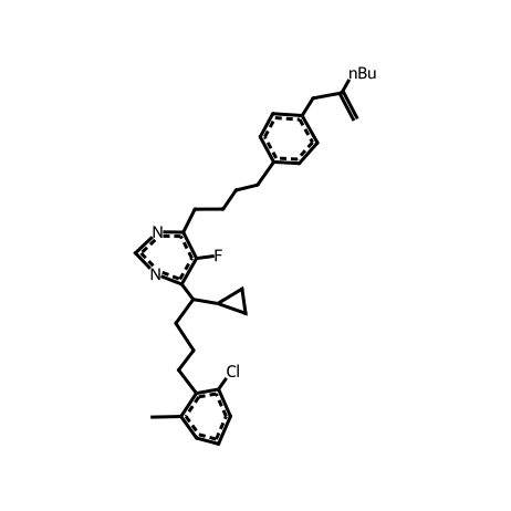 C=C(CCCC)Cc1ccc(CCCCc2ncnc(C(CCCc3c(C)cccc3Cl)C3CC3)c2F)cc1